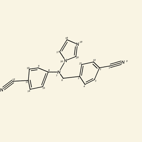 N#Cc1ccc(CN(c2ccc(C#N)cc2)n2ccnc2)cc1